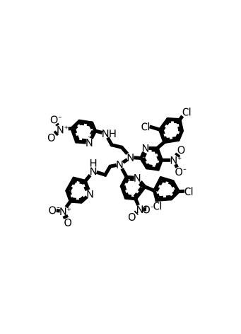 O=[N+]([O-])c1ccc(NCCN(c2ccc([N+](=O)[O-])c(-c3ccc(Cl)cc3Cl)n2)N(CCNc2ccc([N+](=O)[O-])cn2)c2ccc([N+](=O)[O-])c(-c3ccc(Cl)cc3Cl)n2)nc1